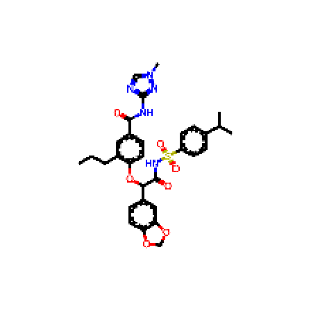 CCCc1cc(C(=O)Nc2ncn(C)n2)ccc1OC(C(=O)NS(=O)(=O)c1ccc(C(C)C)cc1)c1ccc2c(c1)OCO2